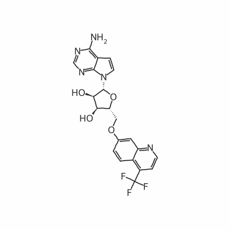 Nc1ncnc2c1ccn2[C@@H]1O[C@H](COc2ccc3c(C(F)(F)F)ccnc3c2)[C@@H](O)[C@H]1O